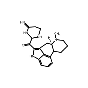 CN1CCCC2c3cccc4[nH]c(C(=O)C5NCCC(=N)N5)c(c34)C[C@H]21